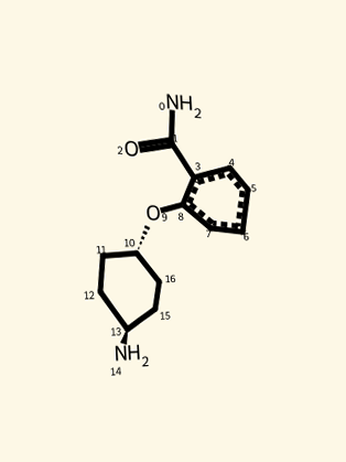 NC(=O)c1ccccc1O[C@H]1CC[C@H](N)CC1